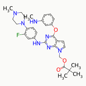 CNc1cccc(Oc2nc(Nc3ccc(N4CCN(C)CC4)c(F)c3)nc3c2ccn3COC(=O)C(C)(C)C)c1